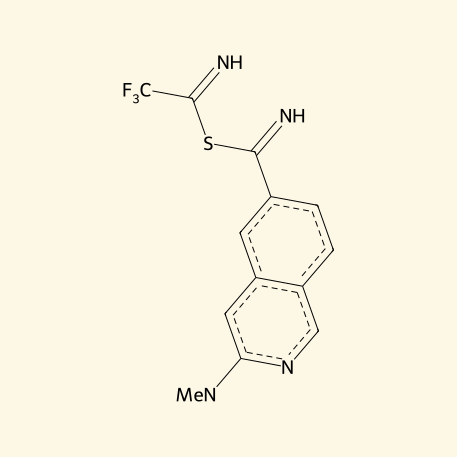 CNc1cc2cc(C(=N)SC(=N)C(F)(F)F)ccc2cn1